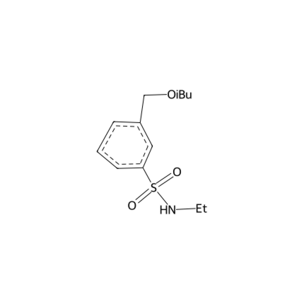 CCNS(=O)(=O)c1cccc(COCC(C)C)c1